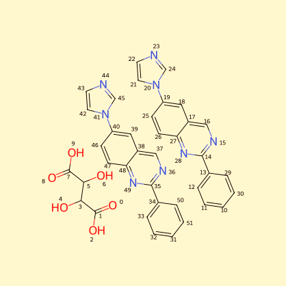 O=C(O)C(O)C(O)C(=O)O.c1ccc(-c2ncc3cc(-n4ccnc4)ccc3n2)cc1.c1ccc(-c2ncc3cc(-n4ccnc4)ccc3n2)cc1